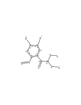 C=Cc1cc(F)c(F)cc1C(=O)N(CC)CC